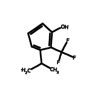 [CH2]C(C)c1cccc(O)c1C(F)(F)F